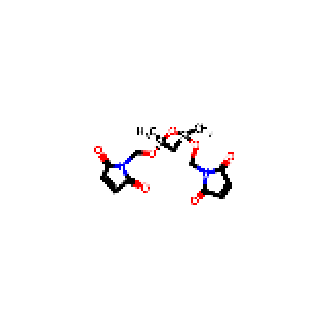 C[Si]1(OCN2C(=O)C=CC2=O)C[Si](C)(OCN2C(=O)C=CC2=O)O1